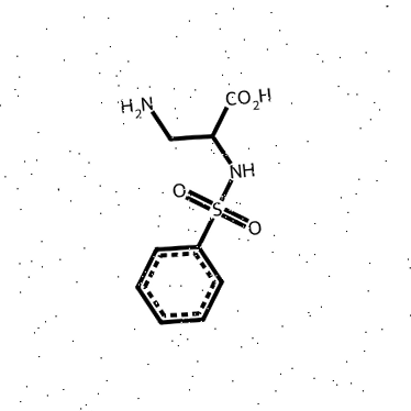 NCC(NS(=O)(=O)c1ccccc1)C(=O)O